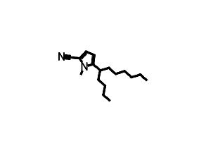 CCCCCCC(CCCC)c1ccc(C#N)n1C